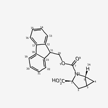 O=C(O)[C@@H]1CC2C[C@H]2N1C(=O)OCC1c2ccccc2-c2ccccc21